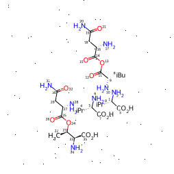 CC(C)[C@H](N)C(=O)O.CC(C)[C@H](N)C(=O)O.CC[C@H](C)[C@H](N)C(=O)OC(=O)[C@@H](N)CC(N)=O.C[C@@H](OC(=O)[C@@H](N)CC(N)=O)[C@H](N)C(=O)O